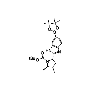 CC1C[C@@H](c2nc3ccc(B4OC(C)(C)C(C)(C)O4)cc3[nH]2)N(C(=O)OC(C)(C)C)[C@@H]1C